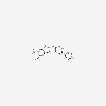 COc1cc2c(cc1OC)CC(CC1CCN(c3ccccc3)CC1)C2